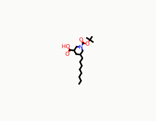 CCCCCCCCC1CC(C(=O)O)CN(C(=O)OC(C)(C)C)C1